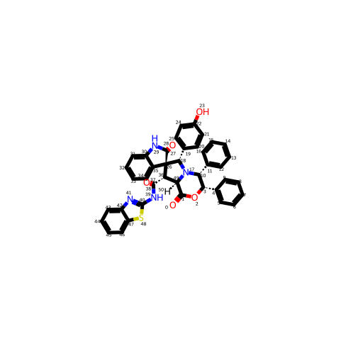 O=C1O[C@@H](c2ccccc2)[C@@H](c2ccccc2)N2[C@@H](c3ccc(O)cc3)[C@]3(C(=O)Nc4ccccc43)[C@@H](C(=O)Nc3nc4ccccc4s3)[C@H]12